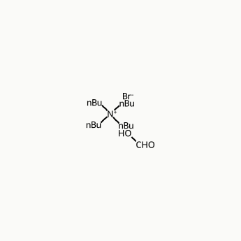 CCCC[N+](CCCC)(CCCC)CCCC.O=CO.[Br-]